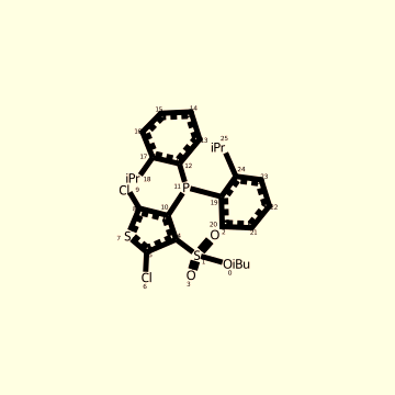 CC(C)COS(=O)(=O)c1c(Cl)sc(Cl)c1P(c1ccccc1C(C)C)c1ccccc1C(C)C